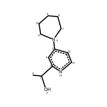 CC(O)c1cc(N2CCCCC2)ccn1